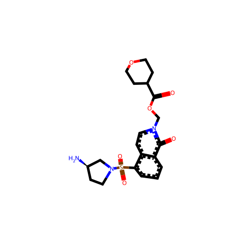 N[C@@H]1CCN(S(=O)(=O)c2cccc3c(=O)n(COC(=O)C4CCOCC4)ccc23)C1